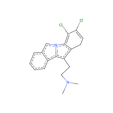 CN(C)CCc1c2c(n3cc4ccccc4c13)=C(Cl)C(Cl)=CC2